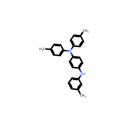 Cc1ccc(N(c2ccc(C)cc2)c2ccc(Nc3cccc(C)c3)cc2)cc1